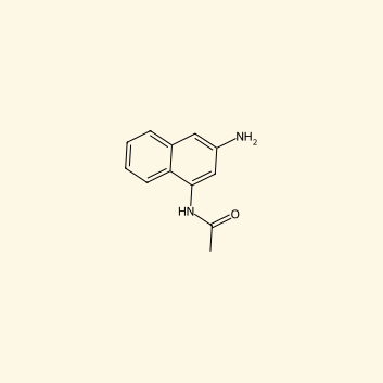 CC(=O)Nc1cc(N)cc2ccccc12